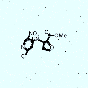 COC(=O)c1occc1Nc1cc(Cl)ncc1[N+](=O)[O-]